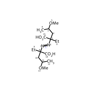 CCC(CC(C)OC)(/N=N/C(CC)(CC(C)OC)C(=O)O)C(=O)O